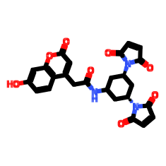 O=C(Cc1cc(=O)oc2cc(O)ccc12)NC1C[C@@H](N2C(=O)C=CC2=O)C[C@H](N2C(=O)C=CC2=O)C1